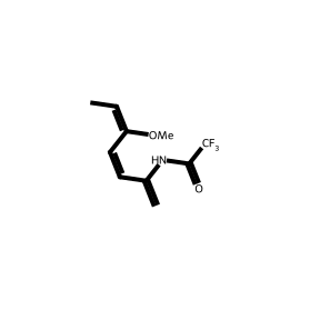 C=C(/C=C\C(=C/C)OC)NC(=O)C(F)(F)F